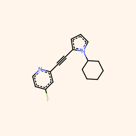 Fc1ccnc(C#Cc2cccn2C2CCCCC2)c1